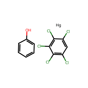 Clc1cc(Cl)c(Cl)c(Cl)c1Cl.Oc1ccccc1.[Hg]